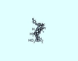 CC(=O)O[C@@H](CNCc1ccc(F)cc1)[C@@]12CC[C@]3(C)[C@H](CC[C@@H]4[C@@]5(C)CC[C@H](OC(=O)CC(C)(C)C(=O)O)[C@H](C)[C@@H]5CC[C@]43C)C1=C(C(C)C)C(=O)C2